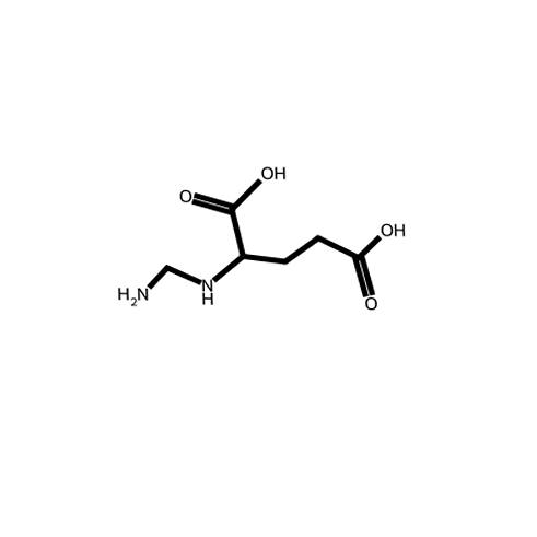 NCNC(CCC(=O)O)C(=O)O